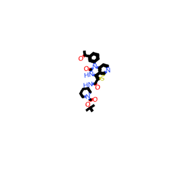 CC(=O)c1cccc(N2C(=O)Nc3c(C(=O)N[C@@H]4CCCN(C(=O)OC(C)(C)C)C4)sc4nccc2c34)c1